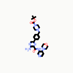 CC(C)(C)OC(=O)N1CCN(Cc2ccc(-c3cnc(N)c(C(=O)Nc4cnccc4N4CCOCC4)n3)cc2)CC1